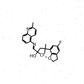 Cc1ccc2c(N=CC(O)(CC(C)(C)c3cc(F)cc4c3OCC4)C(F)(F)F)cccc2n1